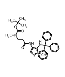 CN(CCC(=O)Nc1cnn(C)c1NC(c1ccccc1)(c1ccccc1)c1ccccc1)C(=O)OC(C)(C)C